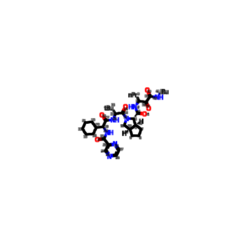 CCCC(NC(=O)[C@@H]1[C@H]2CCC[C@H]2CN1C(=O)[C@@H](NC(=O)[C@@H](NC(=O)c1cnccn1)C1CCCCC1)C(C)(C)C)C(=O)C(=O)N[C@@H](C)CC